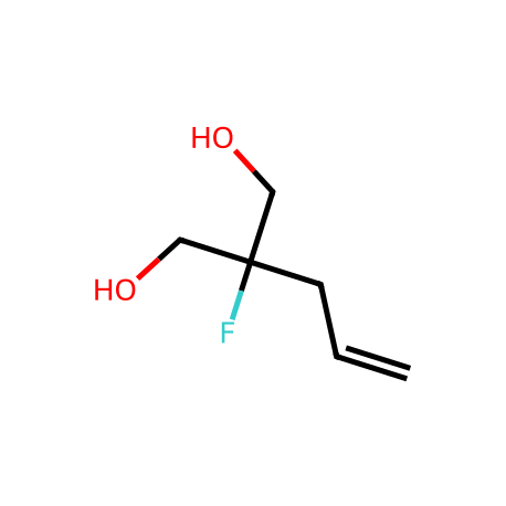 C=CCC(F)(CO)CO